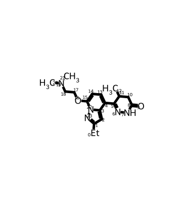 CCc1cc2c(C3=NNC(=O)CC3C)ccc(OCCN(C)C)n2n1